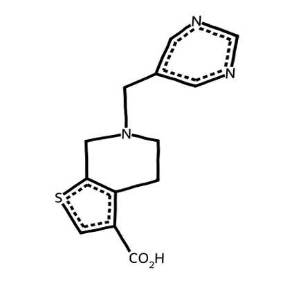 O=C(O)c1csc2c1CCN(Cc1cncnc1)C2